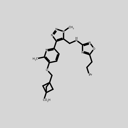 Cc1nc(-c2nnn(C)c2CNc2noc(CCC(C)C)n2)ccc1OCC12CC(C(=O)O)(C1)C2